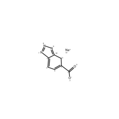 O=C([O-])C1=CC=C2N=NN=C2C1.[Na+]